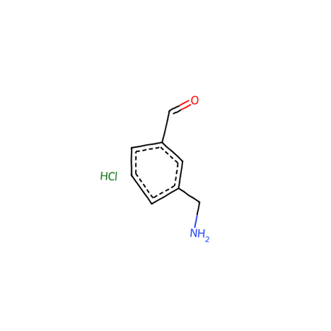 Cl.NCc1cccc(C=O)c1